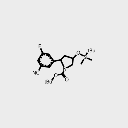 CC(C)(C)OC(=O)N1CC(O[Si](C)(C)C(C)(C)C)CC1c1cc(F)cc(C#N)c1